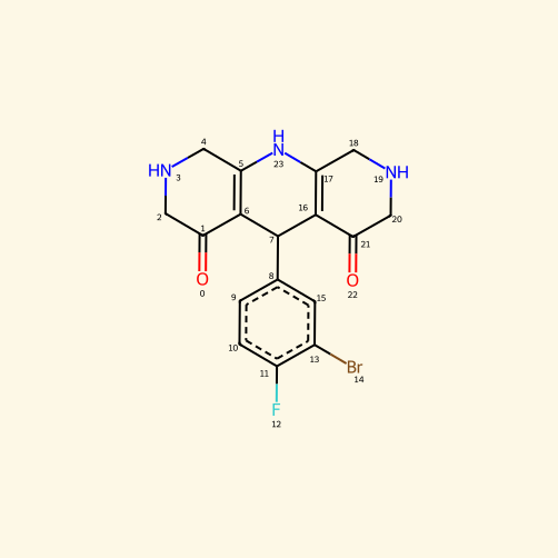 O=C1CNCC2=C1C(c1ccc(F)c(Br)c1)C1=C(CNCC1=O)N2